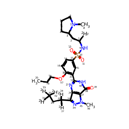 [2H]C(CC1CCCN1C)NS(=O)(=O)c1ccc(OCCC)c(-c2nc3c(C([2H])([2H])CC([2H])([2H])[2H])nn(C)c3c(=O)[nH]2)c1